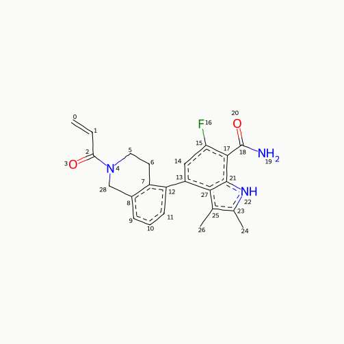 C=CC(=O)N1CCc2c(cccc2-c2cc(F)c(C(N)=O)c3[nH]c(C)c(C)c23)C1